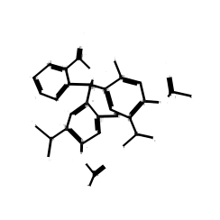 CC(=O)Oc1cc(C)c(C2(c3cc(C(C)C)c(OC(C)=O)cc3C)OC(=O)c3ccccc32)cc1C(C)C